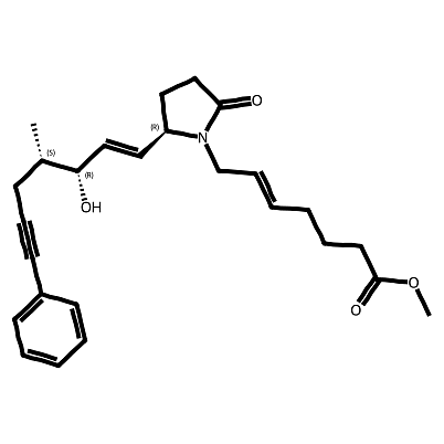 COC(=O)CCCC=CCN1C(=O)CC[C@@H]1C=C[C@H](O)[C@@H](C)CC#Cc1ccccc1